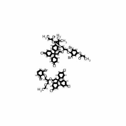 C=CC(=O)Oc1cc(Br)c(OCC(COC2C(OC(=O)C=C)C2(C)C)OC(=O)CC(c2ccc(Cl)cc2)(c2ccc(Cl)cc2)c2ccc(Cl)cc2)c(Br)c1.[CH2]COCC(COc1c(Br)c[c]cc1Br)OC(=O)CC(c1ccc(Cl)cc1)(c1ccc(Cl)cc1)c1ccc(Cl)cc1